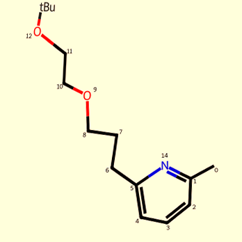 Cc1cccc(CCCOCCOC(C)(C)C)n1